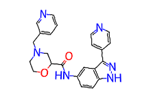 O=C(Nc1ccc2[nH]nc(-c3ccncc3)c2c1)C1CN(Cc2cccnc2)CCO1